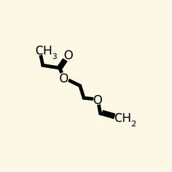 C=COCCOC(=O)CC